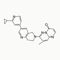 Cc1cc2nccc(=O)n2nc1N1CCc2ncc(-c3ccnc(C4CC4)c3)cc2C1